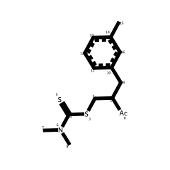 CC(=O)C(CSC(=S)N(C)C)Cc1cccc(C)c1